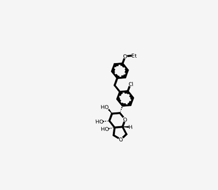 CCOc1ccc(Cc2cc([C@@H]3O[C@@H]4COC[C@@]4(O)[C@H](O)[C@H]3O)ccc2Cl)cc1